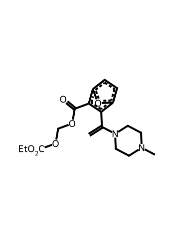 C=C(c1c(C(=O)OCOC(=O)OCC)c2ccc1o2)N1CCN(C)CC1